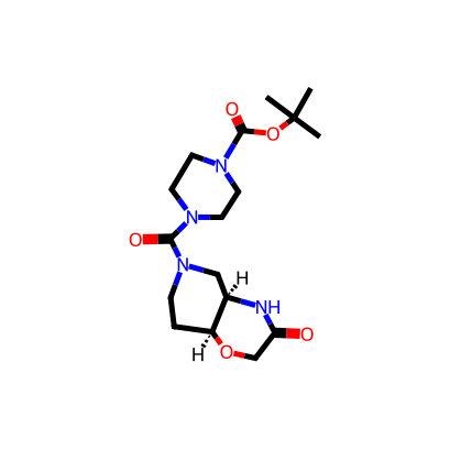 CC(C)(C)OC(=O)N1CCN(C(=O)N2CC[C@@H]3OCC(=O)N[C@@H]3C2)CC1